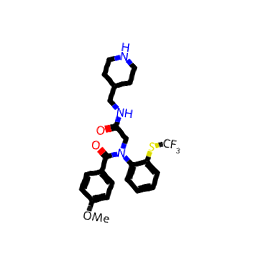 COc1ccc(C(=O)N(CC(=O)NCC2CCNCC2)c2ccccc2SC(F)(F)F)cc1